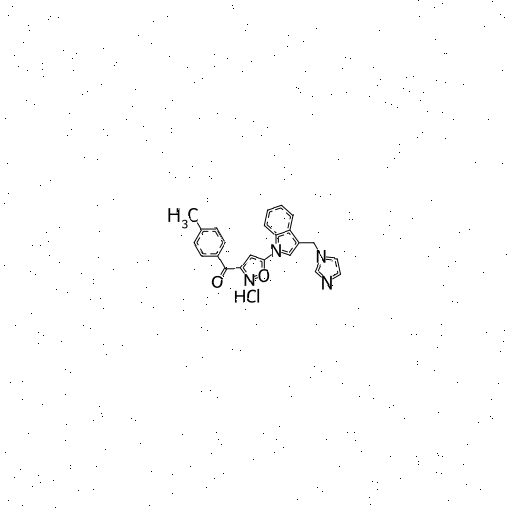 Cc1ccc(C(=O)c2cc(-n3cc(Cn4ccnc4)c4ccccc43)on2)cc1.Cl